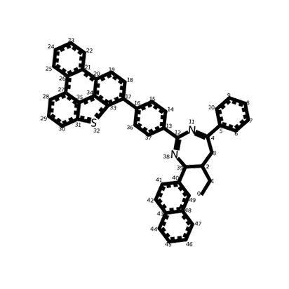 CCC1CC(c2ccccc2)=NC(c2ccc(-c3ccc4c5ccccc5c5cccc6sc3c4c65)cc2)=NC1c1ccc2ccccc2c1